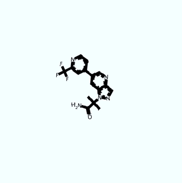 CC(C)(C(N)=O)n1ncc2ncc(-c3ccnc(C(F)(F)F)c3)cc21